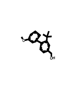 COc1cccc(-c2ccc(CO)cc2C(C)(C)C)c1